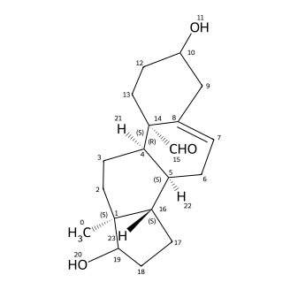 C[C@]12CC[C@@H]3[C@@H](CC=C4CC(O)CC[C@@]43C=O)[C@@H]1CCC2O